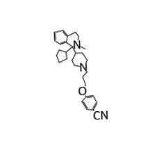 CN1CCc2ccccc2C1(C1CCCC1)C1CCN(CCCOc2ccc(C#N)cc2)CC1